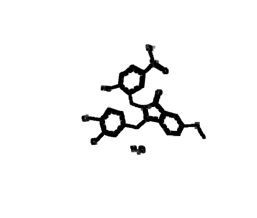 CSc1ccc2c(c1)c(=O)n(Cc1cc([N+](=O)[O-])ccc1O)n2Cc1ccc(Cl)c(Cl)c1.O